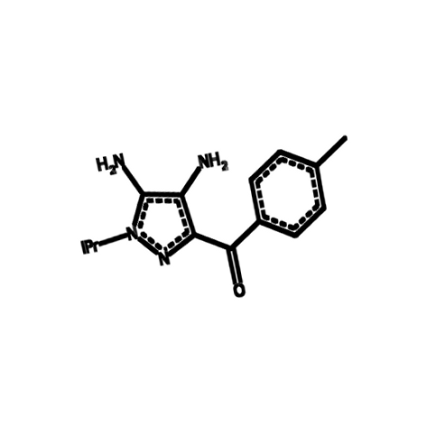 Cc1ccc(C(=O)c2nn(C(C)C)c(N)c2N)cc1